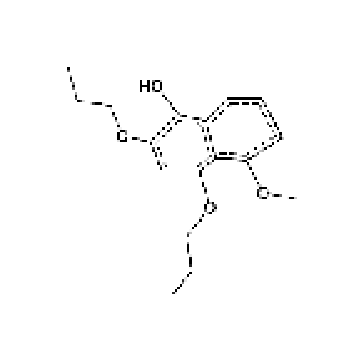 CCCOc1cc(OCCC)c2c(OC)cccc2c1O